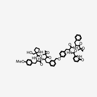 COc1ccc(CC(NC(=O)C2(CO)CCCN2)C(=O)NC(Cc2cccc(COc3ccc(CC(NC(=O)c4cccc(=O)[nH]4)C(=O)NC(Cc4ccccc4)C(=O)C4(C)CO4)cc3)c2)C(=O)C2(C)CO2)cc1